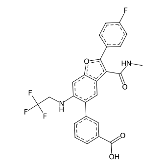 CNC(=O)c1c(-c2ccc(F)cc2)oc2cc(NCC(F)(F)F)c(-c3cccc(C(=O)O)c3)cc12